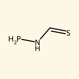 PNC=S